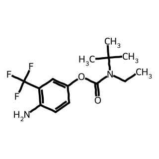 CCN(C(=O)Oc1ccc(N)c(C(F)(F)F)c1)C(C)(C)C